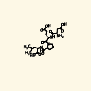 CC(C)C[C@H](NC(=O)[C@@H]1CCCN1C(=O)[C@H](CCC(=O)O)NC(=O)[C@@H](N)CC(=O)O)C(=O)O